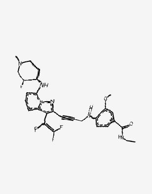 CNC(=O)c1ccc(NCC#Cc2nn3c(N[C@@H]4CCN(C)C[C@@H]4F)cccc3c2C(F)=C(F)F)c(OC)c1